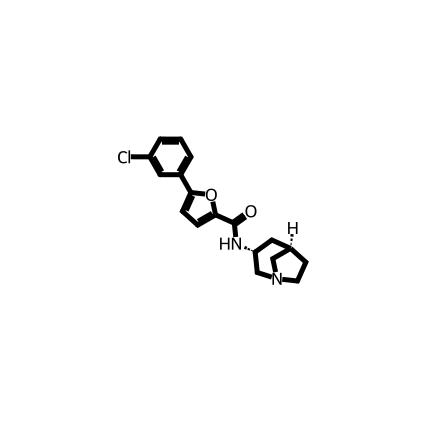 O=C(N[C@@H]1C[C@H]2CCN(C2)C1)c1ccc(-c2cccc(Cl)c2)o1